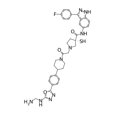 NCNc1nnc(-c2ccc(C3CCN(C(=O)CN4CC[C@@](S)(C(=O)Nc5ccc6[nH]nc(-c7ccc(F)cc7)c6c5)C4)CC3)cc2)o1